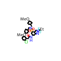 CCC(F)(F)n1cc2c(S(=O)(=O)N(Cc3ccc(OC)cc3)Cc3ccc(OC)cc3)cc(NC(=O)Cc3ccccc3Cl)cc2n1